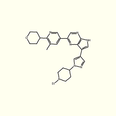 CCN1CCC(n2cc(-c3c[nH]c4ncc(-c5cnc(C6CCOCC6)c(C)c5)nc34)cn2)CC1